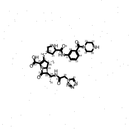 C[C@H]1C(S[C@@H]2CNC(C(=O)Nc3cccc(C(=O)N4CCNCC4)c3)C2)=C(C(=O)O)N2C(=O)[C@H]([C@@H](C)NC(=O)Cn3cnnn3)C12